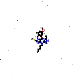 CCCCCn1c2nc(SC)n(Cc3ccc(OC)cc3)c2c(=O)n2c(C)nnc12